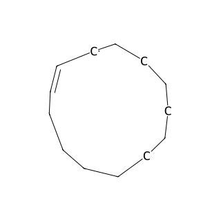 [CH]1C=CCCCCCCCCCC1